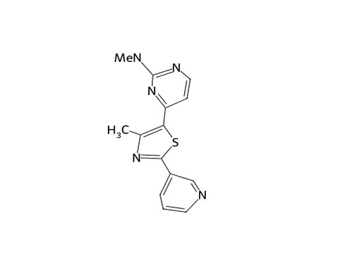 CNc1nccc(-c2sc(-c3cccnc3)nc2C)n1